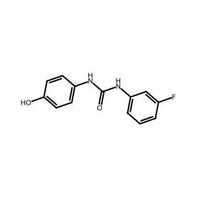 O=C(Nc1ccc(O)cc1)Nc1cccc(F)c1